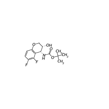 CC(C)(C)OC(=O)N[C@@H]1c2c(ccc(F)c2F)OC[C@@H]1O